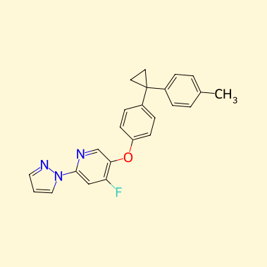 Cc1ccc(C2(c3ccc(Oc4cnc(-n5cccn5)cc4F)cc3)CC2)cc1